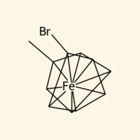 C[C]12[CH]3[CH]4[CH]5[CH]1[Fe]45321678[CH]2[CH]1[CH]6[C]7(Br)[CH]28